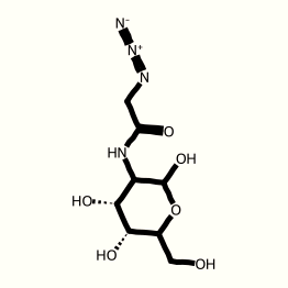 [N-]=[N+]=NCC(=O)NC1C(O)OC(CO)[C@H](O)[C@@H]1O